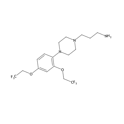 NCCCN1CCN(c2ccc(OCC(F)(F)F)cc2OCC(F)(F)F)CC1